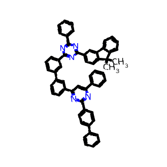 CC1(C)c2ccccc2-c2cc(-c3nc(-c4ccccc4)nc(-c4cccc(-c5cccc(-c6cc(-c7ccccc7)nc(-c7ccc(-c8ccccc8)cc7)n6)c5)c4)n3)ccc21